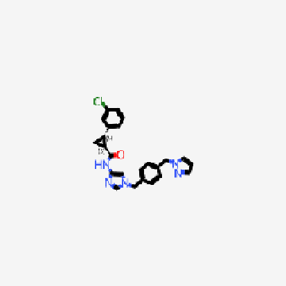 O=C(Nc1cn(Cc2ccc(Cn3cccn3)cc2)cn1)[C@H]1C[C@@H]1c1cccc(Cl)c1